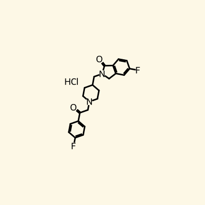 Cl.O=C(CN1CCC(CN2Cc3cc(F)ccc3C2=O)CC1)c1ccc(F)cc1